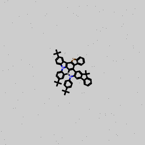 CC(C)(C)c1ccc(N2B3c4cc(C(C)(C)C)ccc4-n4c5ccc(C(C)(C)C)cc5c5c6sc7ccccc7c6c(c3c54)-c3cc4c(cc32)-c2ccccc2C4(C)C)cc1